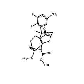 CC(C)(C)OC(=O)N(C(=O)OC(C)(C)C)C1=N[C@](C)(c2cc(N)cc(F)c2F)C2C[C@]2(C(=O)N2CCOCC2)S1